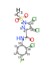 CS(=O)(=O)n1nc(C(=O)Nc2ccc(F)cc2Cl)c(Cl)c1Cl